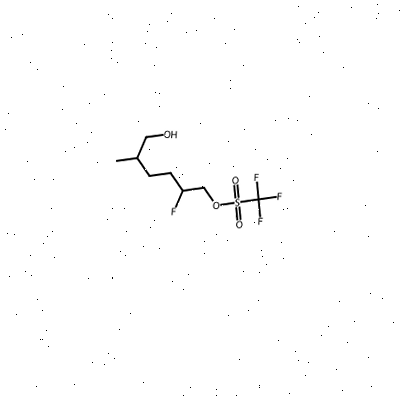 CC(CO)CCC(F)COS(=O)(=O)C(F)(F)F